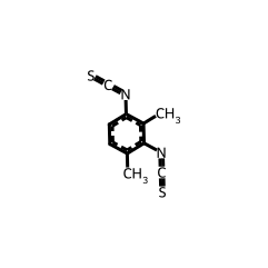 Cc1ccc(N=C=S)c(C)c1N=C=S